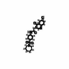 O=C(Cn1cnc2ccc(Cl)cc2c1=O)Nc1ccc(S(=O)(=O)N2CCCCCC2)cc1